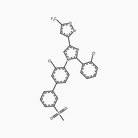 CS(=O)(=O)c1cccc(-c2ccc(-n3cc(-c4cc(C(F)(F)F)on4)nc3-c3ccccc3Cl)c(Cl)c2)c1